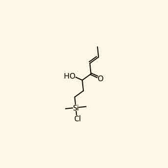 CC=CC(=O)C(O)CC[Si](C)(C)Cl